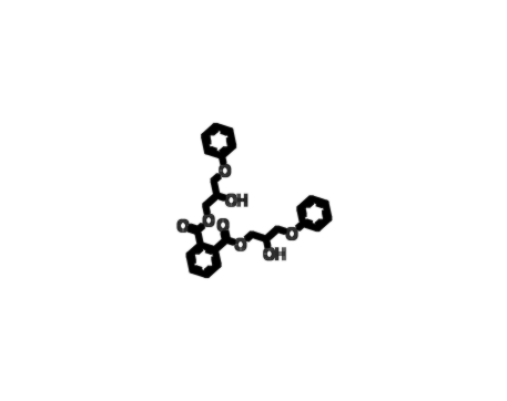 O=C(OCC(O)COc1ccccc1)c1ccccc1C(=O)OCC(O)COc1ccccc1